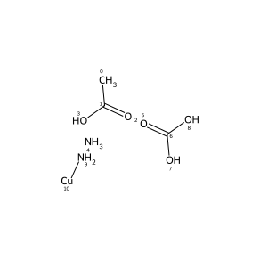 CC(=O)O.N.O=C(O)O.[NH2][Cu]